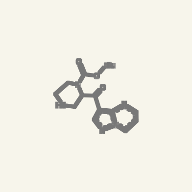 CC(C)(C)OC(=O)N1CCNCC1C(=O)c1cnn2cccnc12